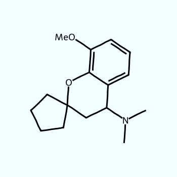 COc1cccc2c1OC1(CCCC1)CC2N(C)C